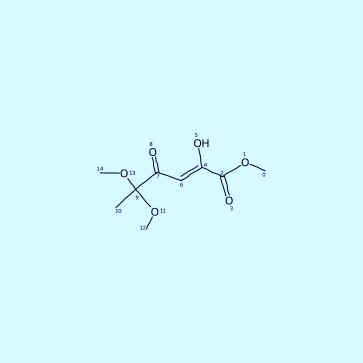 COC(=O)/C(O)=C/C(=O)C(C)(OC)OC